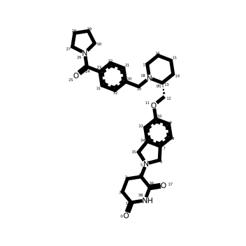 O=C1CCC(N2Cc3ccc(OC[C@H]4CCCCN4Cc4ccc(C(=O)N5CCCC5)cc4)cc3C2)C(=O)N1